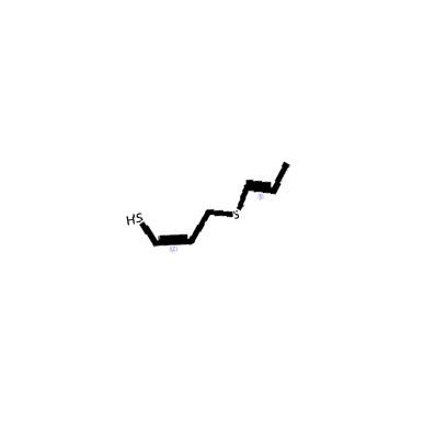 C/C=C/SC/C=C\S